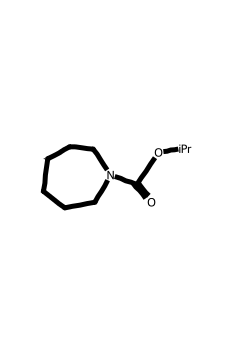 CC(C)OC(=O)N1CC[CH]CCC1